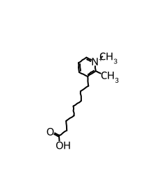 Cc1c(CCCCCCCC(=O)O)ccc[n+]1C